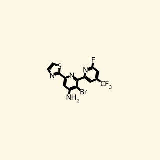 Nc1cc(-c2nccs2)nc(-c2cc(C(F)(F)F)cc(F)n2)c1Br